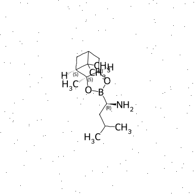 CC(C)C[C@H](N)B1O[C@@H]2CC3C[C@@H](C3(C)C)[C@]2(C)O1